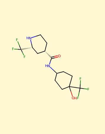 O=C(NC1CCC(O)(C(F)(F)F)CC1)[C@H]1CCN[C@@H](C(F)(F)F)C1